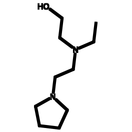 CCN(CCO)CCN1CCCC1